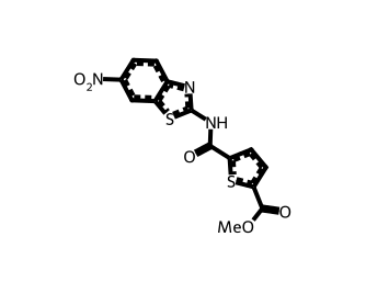 COC(=O)c1ccc(C(=O)Nc2nc3ccc([N+](=O)[O-])cc3s2)s1